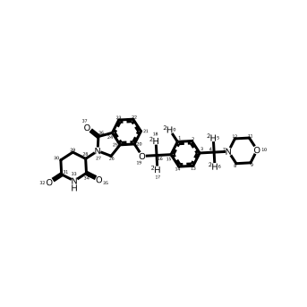 [2H]c1cc(C([2H])([2H])N2CCOCC2)ccc1C([2H])([2H])Oc1cccc2c1CN(C1CCC(=O)NC1=O)C2=O